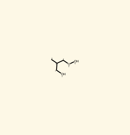 CC(CO)COO